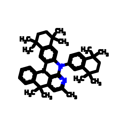 Cc1cc2c3c(n1)N(c1ccc4c(c1)C(C)(C)CCC4(C)C)c1cc4c(cc1B3c1ccccc1C2(C)C)C(C)(C)CCC4(C)C